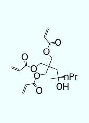 C=CC(=O)OCC(COC(=O)C=C)(COC(=O)C=C)C[C@@](C)(O)CCC